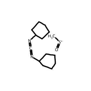 C(=NC1CCCCC1)=NC1CCCCC1.C[S+]=O